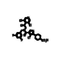 O=C(CN(Cc1cc(F)cc(F)c1)C(=O)c1cnn(C2CCC(C(=O)O)CC2)c1Cl)c1c(Cl)cncc1Cl